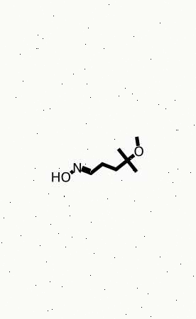 COC(C)(C)CCC=NO